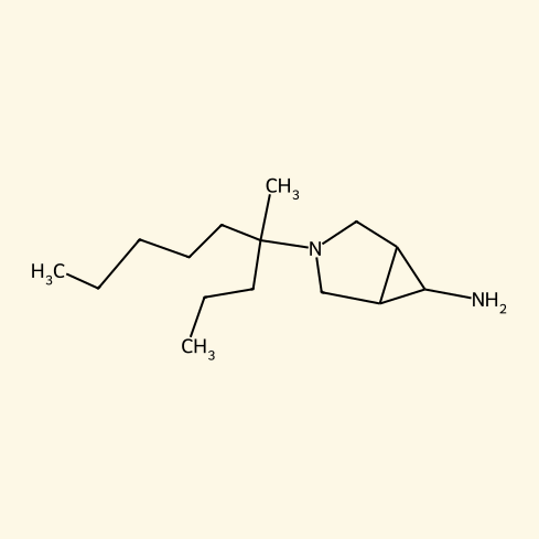 CCCCCC(C)(CCC)N1CC2C(N)C2C1